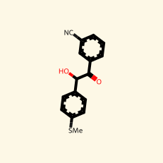 CSc1ccc(C(O)C(=O)c2cccc(C#N)c2)cc1